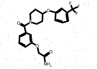 NC(=O)COc1cccc(C(=O)N2CCC(Oc3cccc(C(F)(F)F)c3)CC2)c1